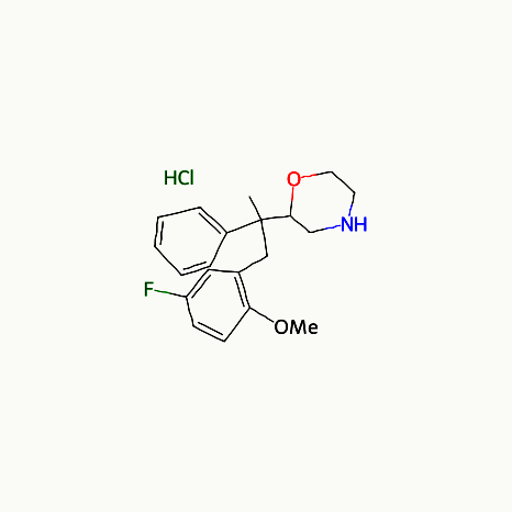 COc1ccc(F)cc1CC(C)(c1ccccc1)C1CNCCO1.Cl